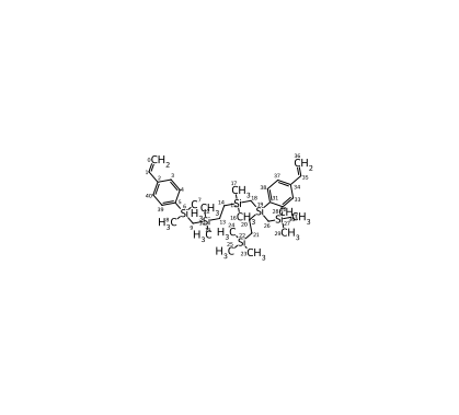 C=Cc1ccc([Si](C)(C)C[Si](C)(C)CC[Si](C)(C)C[Si](CC[Si](C)(C)C)(C[Si](C)(C)C)c2ccc(C=C)cc2)cc1